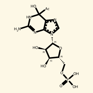 CC(=O)C1(O)NC(N)=Nc2c1ncn2[C@@H]1O[C@H](COP(=O)(O)O)[C@@H](O)[C@H]1O